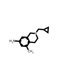 Cc1cc(N)cc2c1CCN(CC1CC1)C2